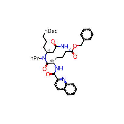 CCCCCCCCCCCCC[C@@H](CC(N)=O)N(CCC)C(=O)[C@H](CCCC(=O)OCc1ccccc1)NC(=O)c1ccc2ccccc2n1